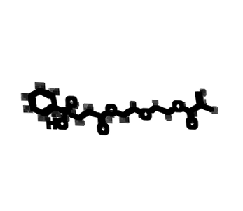 C=C(C)C(=O)OCCOCCOC(=O)CCP(=O)(O)c1ccccc1